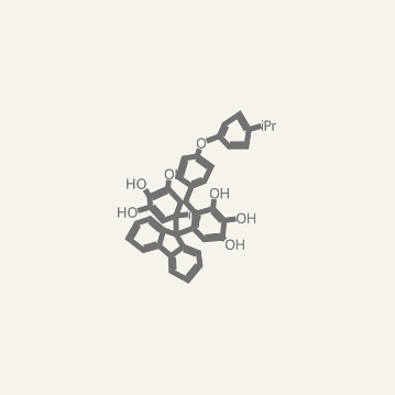 CC(C)c1ccc(Oc2ccc(Cc3c(C4(C5(C(C)C)C=C(O)C(O)=C(O)C5)c5ccccc5-c5ccccc54)cc(O)c(O)c3O)cc2)cc1